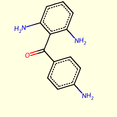 Nc1ccc(C(=O)c2c(N)cccc2N)cc1